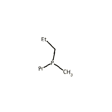 CCC[P](C)[Pr]